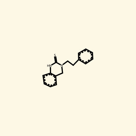 S=C1Nc2ccccc2CN1CCc1ccccc1